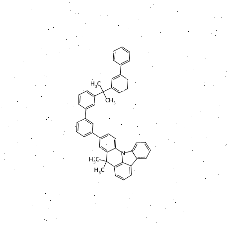 CC(C)(C1=CCCC(c2ccccc2)=C1)c1cccc(-c2cccc(-c3ccc4c(c3)C(C)(C)c3cccc5c6ccccc6n-4c35)c2)c1